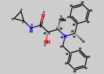 CCCC[C@@H]([C@H](O)C(=O)NC1CC1)N(Cc1ccccc1)[C@@H](C)c1ccccc1